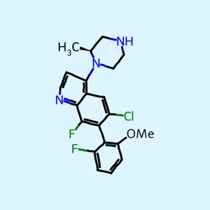 COc1cccc(F)c1-c1c(Cl)cc2c(N3CCNC[C@@H]3C)ccnc2c1F